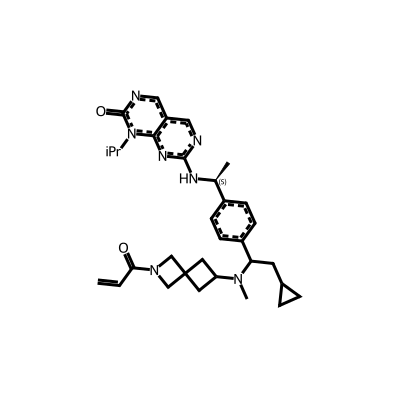 C=CC(=O)N1CC2(CC(N(C)C(CC3CC3)c3ccc([C@H](C)Nc4ncc5cnc(=O)n(C(C)C)c5n4)cc3)C2)C1